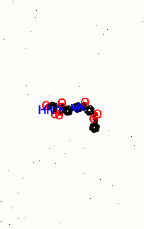 O=C1CCC(N2C(=O)c3ccc(N4CCN(C(=O)C5CCC(C(=O)OCc6ccccc6)CC5)CC4)cc3C2=O)C(=O)N1